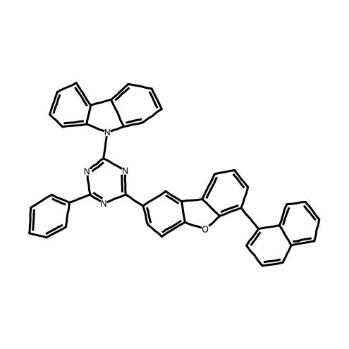 c1ccc(-c2nc(-c3ccc4oc5c(-c6cccc7ccccc67)cccc5c4c3)nc(-n3c4ccccc4c4ccccc43)n2)cc1